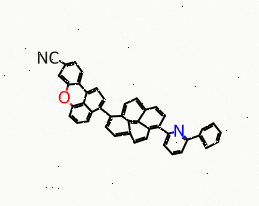 N#Cc1ccc2c(c1)Oc1cccc3c(-c4ccc5ccc6c(-c7cccc(-c8ccccc8)n7)ccc7ccc4c5c76)ccc-2c13